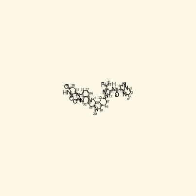 Cc1ccn2ncc(C(=O)Nc3cn([C@H]4CC[C@H](CN(C)C5CCN(c6cccc7c6n(C)c(=O)n7C6CCC(=O)NC6=O)CC5)CC4)nc3C(F)F)c2n1